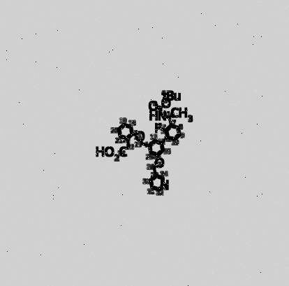 CC(NC(=O)OC(C)(C)C)c1cccc(-c2cc(COc3ccccc3CC(=O)O)cc(OCc3cccnc3)c2)c1F